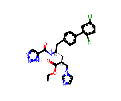 CCOC(=O)[C@@H](C[C@@H](Cc1ccc(-c2cc(Cl)ccc2F)cc1)NC(=O)c1cnn[nH]1)Cn1ccnc1